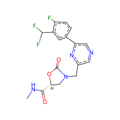 CNC(=O)[C@H]1CN(Cc2cncc(-c3ccc(F)c(C(F)F)c3)n2)C(=O)O1